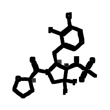 CS(=O)(=O)N[C@@H]1[C@H](Cc2cccc(Cl)c2F)N(C(=O)[C@H]2CCCO2)CC1(F)F